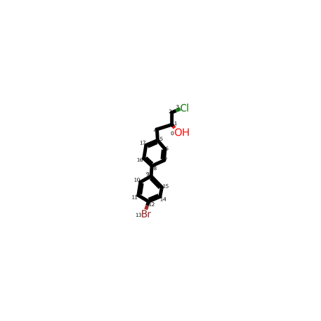 OC(CCl)Cc1ccc(-c2ccc(Br)cc2)cc1